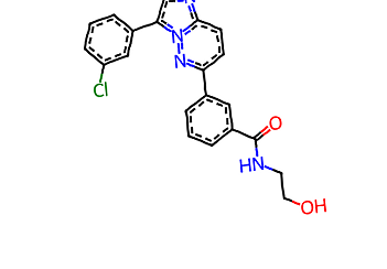 O=C(NCCO)c1cccc(-c2ccc3ncc(-c4cccc(Cl)c4)n3n2)c1